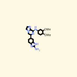 COc1ccc(Nc2nc(-c3ccc4nc(N)[nH]c4c3)cn3ccnc23)cc1OC